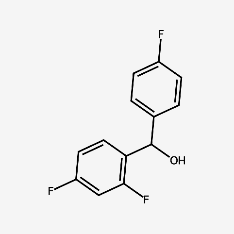 OC(c1ccc(F)cc1)c1ccc(F)cc1F